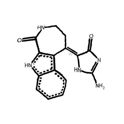 NC1=NC(=O)/C(=C2\CCNC(=O)c3[nH]c4ccccc4c32)N1